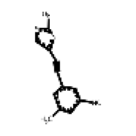 [C-]#[N+]c1cc(C)cc(C#Cc2csc([18F])n2)c1